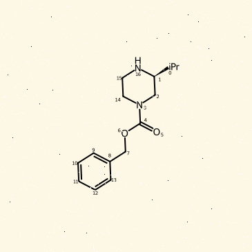 CC(C)[C@H]1CN(C(=O)OCc2ccccc2)CCN1